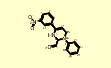 O=CC1NC(c2cccc([N+](=O)[O-])c2)=CCN1c1ccccc1